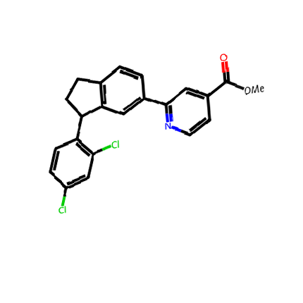 COC(=O)c1ccnc(-c2ccc3c(c2)C(c2ccc(Cl)cc2Cl)CC3)c1